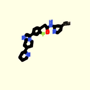 CC(C)(C)c1ccnc(NC(=O)Cc2ccc(-c3cnc4cc(-c5ccccn5)ccn34)cc2F)c1